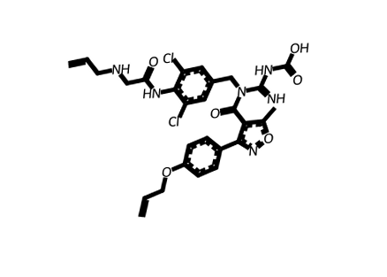 C=CCNCC(=O)Nc1c(Cl)cc(CN(C(=N)NC(=O)O)C(=O)c2c(-c3ccc(OCC=C)cc3)noc2C)cc1Cl